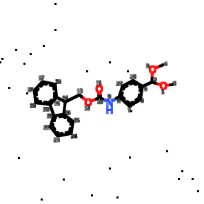 COC(OC)c1ccc(NC(=O)OCC2c3ccccc3-c3ccccc32)cc1